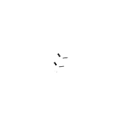 [Ni+2].[O-]P=S.[O-]P=S